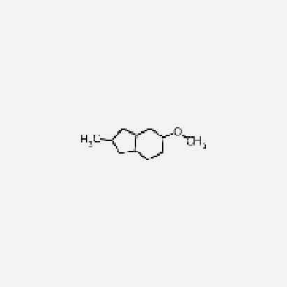 COC1CCC2CC(C)CC2C1